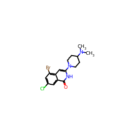 CN(C)C1CCN(c2cc3c(Br)cc(Cl)cc3c(=O)[nH]2)CC1